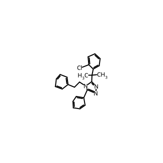 CC(C)(c1ccccc1Cl)c1nnc(-c2ccccc2)n1CCc1ccccc1